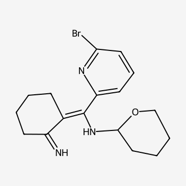 N=C1CCCC/C1=C(/NC1CCCCO1)c1cccc(Br)n1